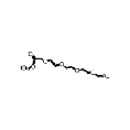 CC(=O)COCCOCCOCCOCC(=O)OC(C)(C)C